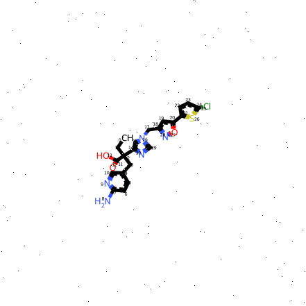 CCC(Cc1ccc(N)nc1)(C(=O)O)c1cn(Cc2cc(-c3ccc(Cl)s3)on2)cn1